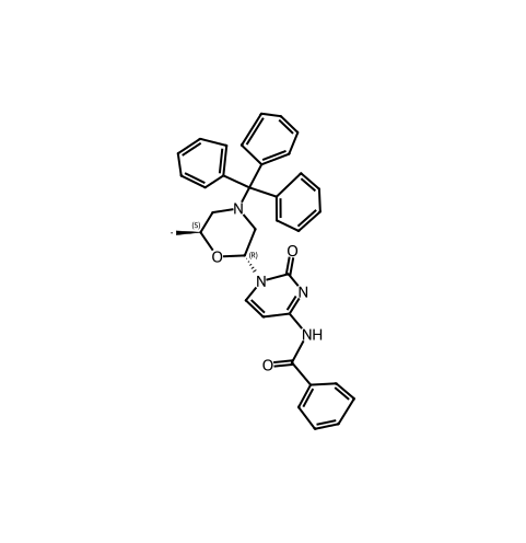 [CH2][C@H]1CN(C(c2ccccc2)(c2ccccc2)c2ccccc2)C[C@H](n2ccc(NC(=O)c3ccccc3)nc2=O)O1